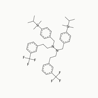 CC(C)[Si](C)(C)c1ccc(CN(CCc2cccc(C(F)(F)F)c2)N(CCc2cccc(C(F)(F)F)c2)Cc2ccc([Si](C)(C)C(C)C)cc2)cc1